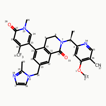 CCOc1cc([C@H](C)N2CCc3c(cc(Cn4ccnc4C)cc3-c3cn(C)c(=O)cc3C(F)(F)F)C2=O)ncc1C#N